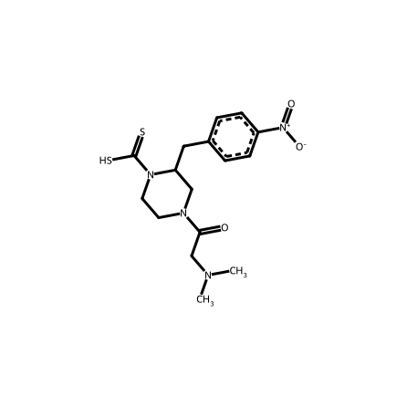 CN(C)CC(=O)N1CCN(C(=S)S)C(Cc2ccc([N+](=O)[O-])cc2)C1